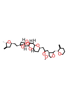 C=C1C[C@H](CC[C@@]23C[C@H]4O[C@@H]5C(O[C@H]6CC[C@H](CC(=O)C[C@H]7C(C[C@H]8OCCCC8=C)OC[C@@H]7OC)OC6[C@@H]5O2)[C@H]4O3)O[C@H]1C